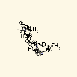 CCNC(=O)CCC/C=C\C[C@@H]1[C@@H](/C=C/[C@H](CCc2ccccc2)OC(=O)O[C@@H](C)C(=O)OCC(=O)[C@]2(O)CC/C=C3\[C@@H](CCC4=CC(=O)CC[C@@]43C)[C@@H](C)CC2)[C@H](O)C[C@@H]1O